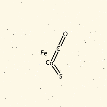 O=[C]=[Co]=[S].[Fe]